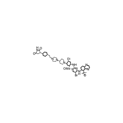 CCc1cc(Nc2ncc(Br)c(Nc3ccc4nccnc4c3P(C)(C)=O)n2)c(OC)cc1N1CCC(N2CCN(CCc3ccc(C4CC(=O)NC4=O)cc3)CC2)CC1